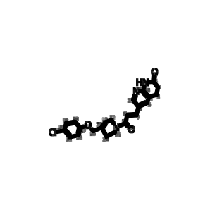 O=C1CCc2cc(C=CC(=O)N3CC=C(COc4ccc(Cl)cc4)CC3)cnc2N1